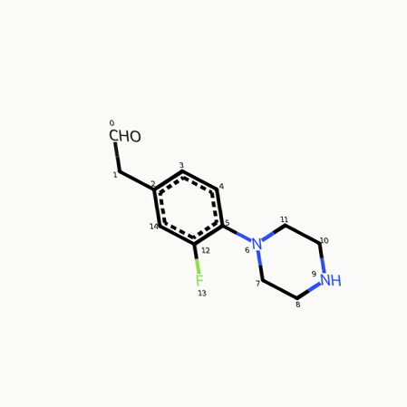 O=CCc1ccc(N2CCNCC2)c(F)c1